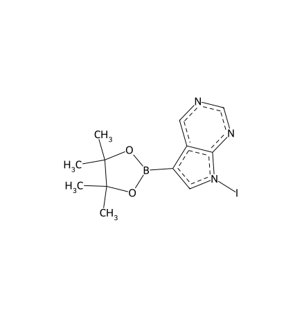 CC1(C)OB(c2cn(I)c3ncncc23)OC1(C)C